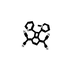 CN1CC=CC=C1C1c2c(c(=C(C#N)C#N)ccc2=C(C#N)C#N)C1c1ccccn1